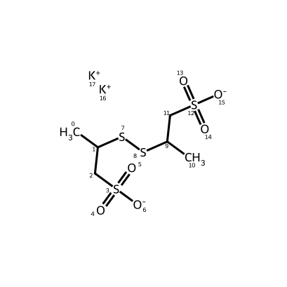 CC(CS(=O)(=O)[O-])SSC(C)CS(=O)(=O)[O-].[K+].[K+]